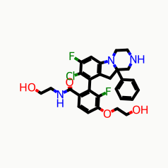 O=C(NCCO)c1ccc(OCCO)c(F)c1-c1c(Cl)c(F)cc2c1CC1(c3ccccc3)CNCCN21